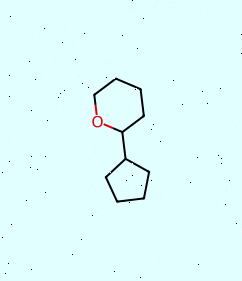 C1CCC(C2CCCC2)OC1